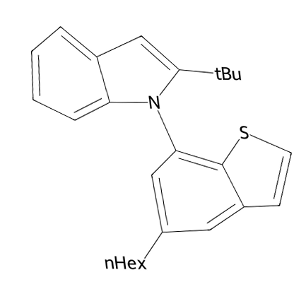 CCCCCCc1cc(-n2c(C(C)(C)C)cc3ccccc32)c2sccc2c1